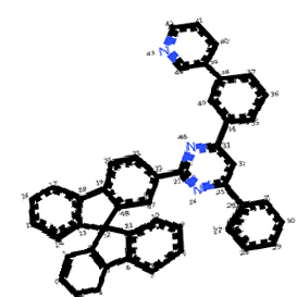 C1=CC2=C(CC1)c1ccccc1C21c2ccccc2-c2ccc(-c3nc(-c4ccccc4)cc(-c4cccc(-c5cccnc5)c4)n3)cc21